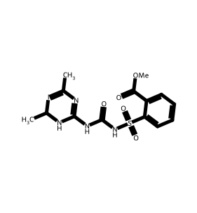 COC(=O)c1ccccc1S(=O)(=O)NC(=O)NC1=NC(C)=IC(C)N1